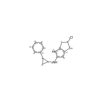 ClC1Cc2[nH]c(NC3CC3c3ccccc3)cc2S1